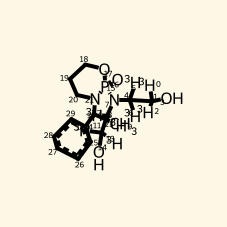 [3H]C([3H])(O)C([3H])([3H])N(C([3H])([3H])C([3H])([3H])O)P1(=O)OCCCN1C(C)c1ccccc1